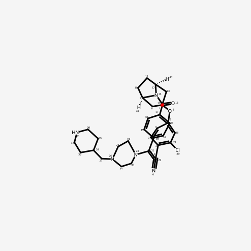 N#Cc1ccc(OC2C[C@H]3CC[C@@H](C2)N3C(=O)c2ccc(C(=O)N3CCN(CC4CCNCC4)CC3)cc2)cc1Cl